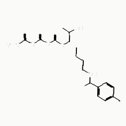 CNC(=O)NC(=O)NC(=O)N[C@@H](CCCCNC(O)c1ccc(C)cc1)C(C)O